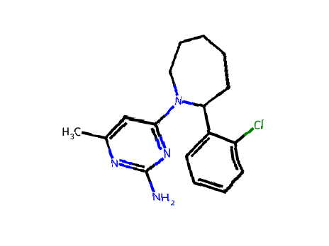 Cc1cc(N2CCCCCC2c2ccccc2Cl)nc(N)n1